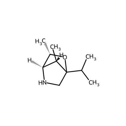 CC(C)C12CN[C@@H]([C@H](C)O1)[C@@H]2C